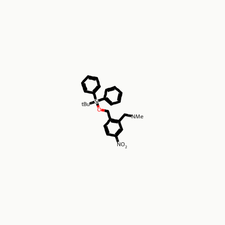 CNCc1cc([N+](=O)[O-])ccc1CO[Si](c1ccccc1)(c1ccccc1)C(C)(C)C